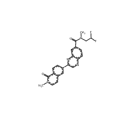 CN(CC(F)F)C(=O)c1ccc2ncc(-c3ccc4c(=O)n(C)ccc4c3)nc2c1